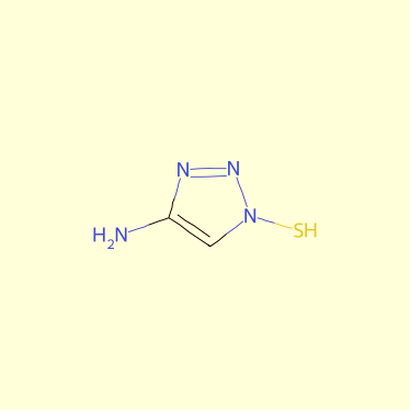 Nc1cn(S)nn1